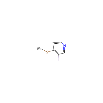 CC(C)Sc1ccncc1I